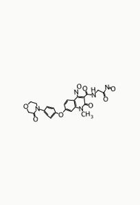 Cn1c(=O)c(C(=O)NCC(=O)N=O)c(N=O)c2ccc(Oc3ccc(N4CCOCC4=O)cc3)cc21